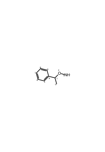 CC(O[NH])c1ccccc1